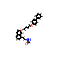 CC(=O)NCCc1cccc2ccc(OCCCCOc3ccc(-c4ccccc4)cc3)cc12